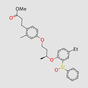 CCc1ccc(O[C@@H](C)CCOc2ccc(CCC(=O)OC)c(C)c2)c([S+]([O-])c2ccccc2)c1